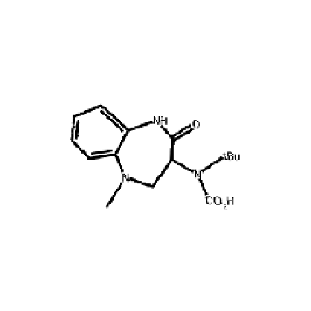 CN1CC(N(C(=O)O)C(C)(C)C)C(=O)Nc2ccccc21